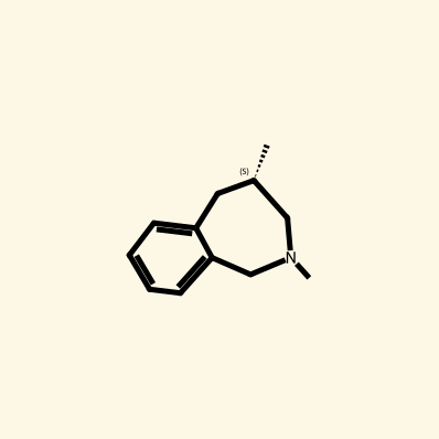 C[C@H]1Cc2ccccc2CN(C)C1